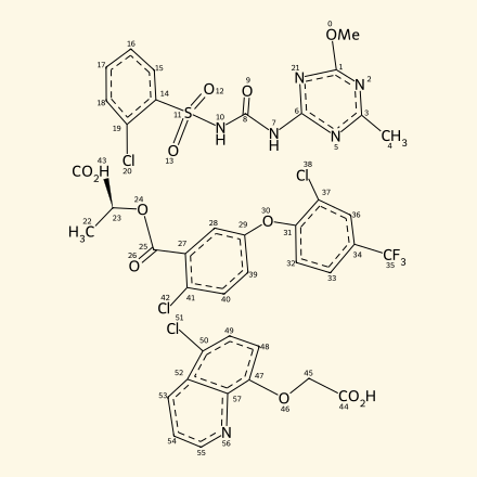 COc1nc(C)nc(NC(=O)NS(=O)(=O)c2ccccc2Cl)n1.C[C@H](OC(=O)c1cc(Oc2ccc(C(F)(F)F)cc2Cl)ccc1Cl)C(=O)O.O=C(O)COc1ccc(Cl)c2cccnc12